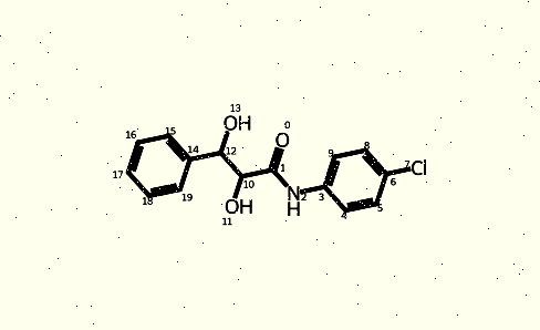 O=C(Nc1ccc(Cl)cc1)C(O)C(O)c1ccccc1